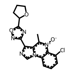 Cc1c2c(-c3noc(C4CCCO4)n3)ncn2c2cccc(Cl)c2[n+]1[O-]